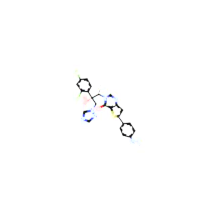 C[C@@H](n1cnc2cc(-c3ccc(N)cc3)sc2c1=O)[C@](O)(Cn1cncn1)c1ccc(F)cc1F